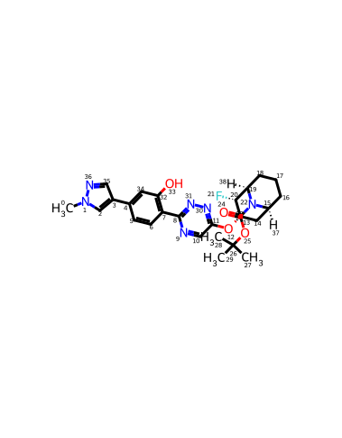 Cn1cc(-c2ccc(-c3ncc(O[C@H]4C[C@@H]5CCC[C@H]([C@H]4F)N5C(=O)OC(C)(C)C)nn3)c(O)c2)cn1